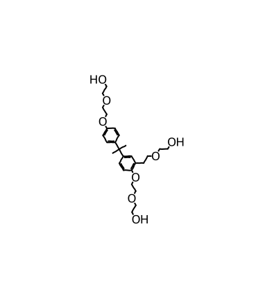 CC(C)(c1ccc(OCCOCCO)cc1)c1ccc(OCCOCCO)c(CCOCCO)c1